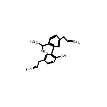 C=CCc1ccc(O)c(-c2cc(CC=C)ccc2C(N)C(=O)O)c1